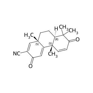 CC1(C)C(=O)C=C[C@]2(C)C3=CC(=O)C(C#N)=C[C@]3(C)CC[C@@H]12